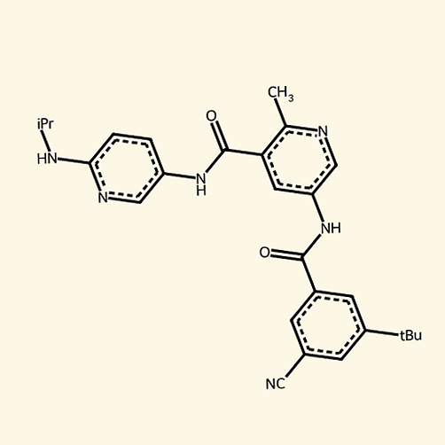 Cc1ncc(NC(=O)c2cc(C#N)cc(C(C)(C)C)c2)cc1C(=O)Nc1ccc(NC(C)C)nc1